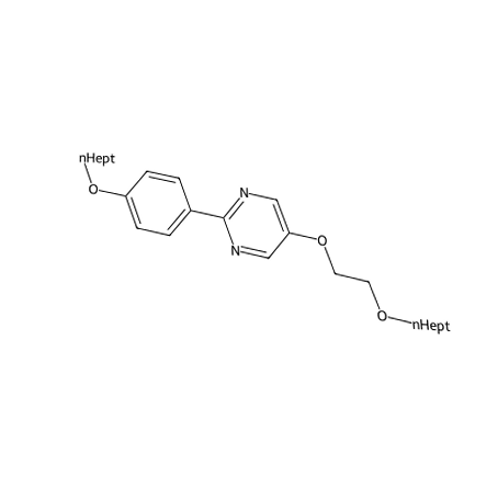 CCCCCCCOCCOc1cnc(-c2ccc(OCCCCCCC)cc2)nc1